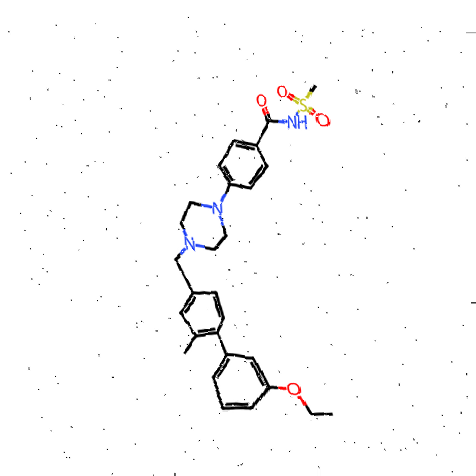 CCOc1cccc(-c2ccc(CN3CCN(c4ccc(C(=O)NS(C)(=O)=O)cc4)CC3)cc2C)c1